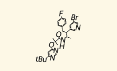 CC(NC(=O)C(C)(C)Oc1cc(C(C)(C)C)ncn1)C(Cc1ccc(F)cc1)c1cncc(Br)c1